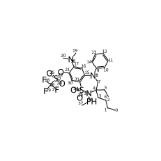 CCCCC1(CC)CN(c2ccccc2)c2cc(N(C)C)c(OS(=O)(=O)C(F)(F)F)cc2S(=O)(=O)N1PC